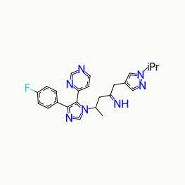 CC(C)n1cc(CC(=N)CC(C)n2cnc(-c3ccc(F)cc3)c2-c2ccncn2)cn1